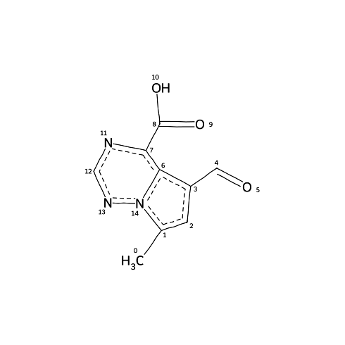 Cc1cc(C=O)c2c(C(=O)O)ncnn12